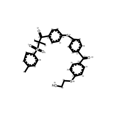 Cc1ccc(S(=O)(=O)C(C)(C)C(=O)c2ccc(Sc3ccc(C(=O)c4ccc(SCCO)cc4)cc3)cc2)cc1